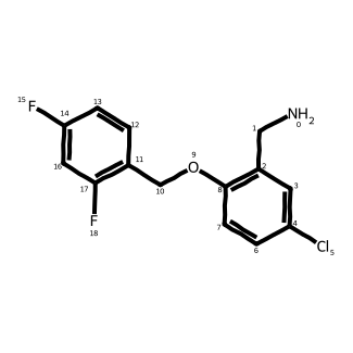 NCc1cc(Cl)ccc1OCc1ccc(F)cc1F